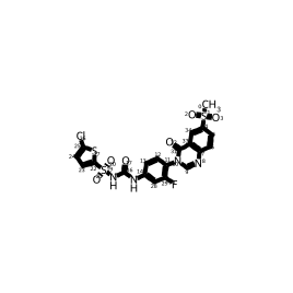 CS(=O)(=O)c1ccc2ncn(-c3ccc(NC(=O)NS(=O)(=O)c4ccc(Cl)s4)cc3F)c(=O)c2c1